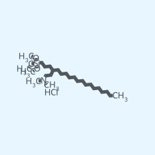 CCCCCCCCCCCCCCCC(CCC[Si](OC)(OC)OC)CCN(C)C.Cl